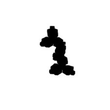 Cc1ccc(N(c2ccc(C)cc2)c2ccc3c(c2)C(C)(C)c2cc4c(cc2-3)sc2ccc(N(c3ccc(C)cc3)c3ccc(C)cc3)cc24)cc1